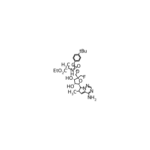 CCOC(=O)[C@H](C)N[P@@](=O)(OC[C@@]1(CF)O[C@@H](C2C(C)C=C3C(N)=NC=NN32)[C@H](O)[C@@H]1O)Oc1ccc(C(C)(C)C)cc1